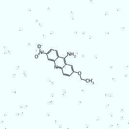 CCOc1ccc2nc3cc([N+](=O)[O-])ccc3c(N)c2c1